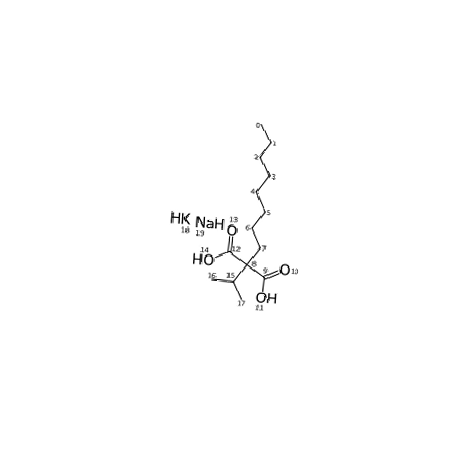 CCCCCCCCC(C(=O)O)(C(=O)O)C(C)C.[KH].[NaH]